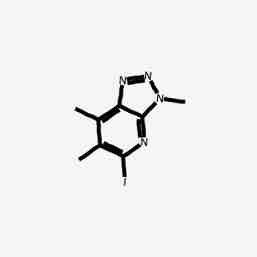 Cc1c(I)nc2c(nnn2C)c1C